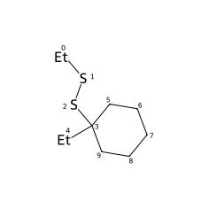 CCSSC1(CC)CCCCC1